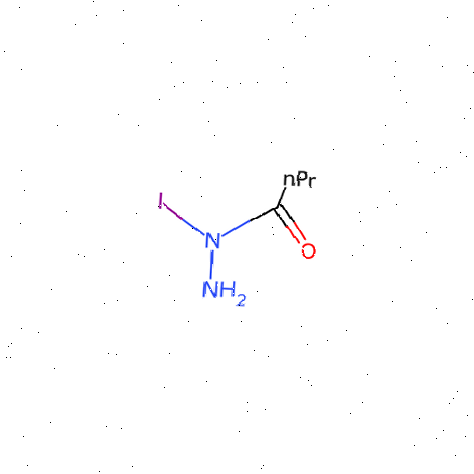 CCCC(=O)N(N)I